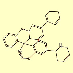 C1=CC(C2=CC3Sc4ccccc4C4(c5ccccc5Sc5cc(C6CC=CCN6)ccc54)C3C=C2)=CCC1